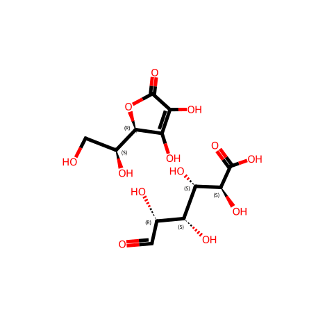 O=C1O[C@H]([C@@H](O)CO)C(O)=C1O.O=C[C@H](O)[C@@H](O)[C@H](O)[C@H](O)C(=O)O